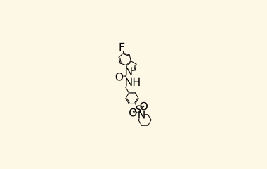 O=C(NCc1ccc(S(=O)(=O)N2CCCCC2)cc1)n1ccc2cc(F)ccc21